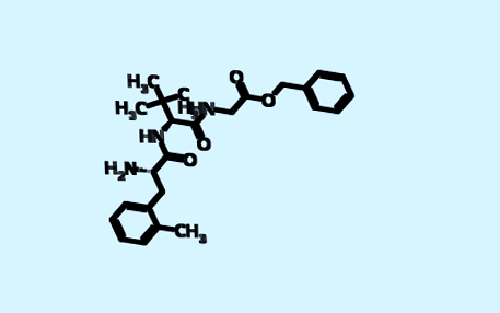 Cc1ccccc1C[C@H](N)C(=O)N[C@H](C(=O)NCC(=O)OCc1ccccc1)C(C)(C)C